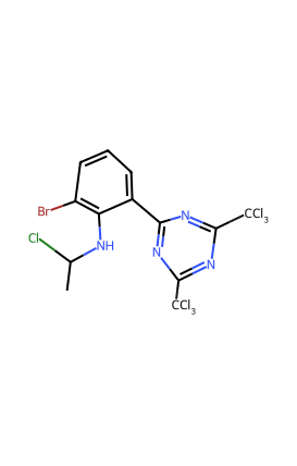 CC(Cl)Nc1c(Br)cccc1-c1nc(C(Cl)(Cl)Cl)nc(C(Cl)(Cl)Cl)n1